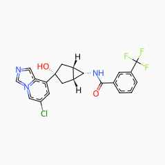 O=C(N[C@@H]1[C@@H]2C[C@@](O)(c3cc(Cl)cn4cncc34)C[C@@H]21)c1cccc(C(F)(F)F)c1